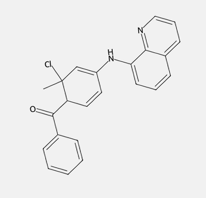 CC1(Cl)C=C(Nc2cccc3cccnc23)C=CC1C(=O)c1ccccc1